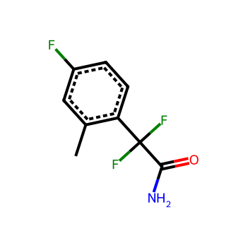 Cc1cc(F)ccc1C(F)(F)C(N)=O